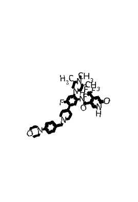 C[C@@H]1CN(c2cc(F)c(C3=CCN(Cc4ccc(N5CCOCC5)cc4)CC3)cc2NC(=O)c2c[nH]c(=O)cc2C(F)(F)F)C[C@H](C)N1C